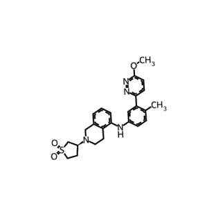 COc1ccc(-c2cc(Nc3cccc4c3CCN([C@H]3CCS(=O)(=O)C3)C4)ccc2C)nn1